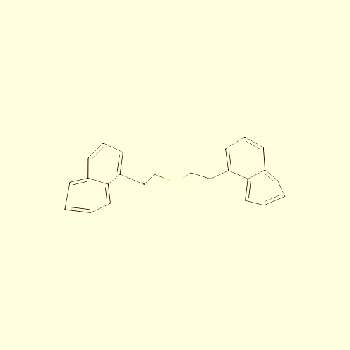 c1ccc2c(CCSCCc3cccc4ccccc34)cccc2c1